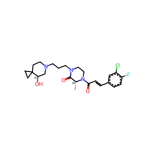 C[C@@H]1C(=O)N(CCCN2CCC3(CC3)[C@H](O)C2)CCN1C(=O)C=Cc1ccc(F)c(Cl)c1